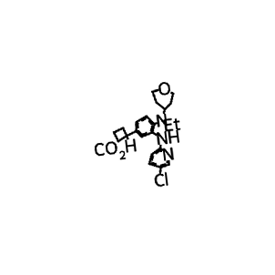 CCN(c1ccc(C2(C(=O)O)CCC2)cc1Nc1ccc(Cl)cn1)C1CCOCC1